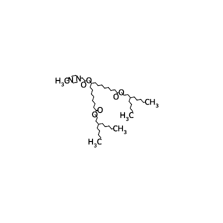 CCCCCC(CCCCC)CCOC(=O)CCCCCCCC(CCCCCCCC(=O)OCCC(CCCCC)CCCCC)OC(=O)CN1CCN(C)CC1